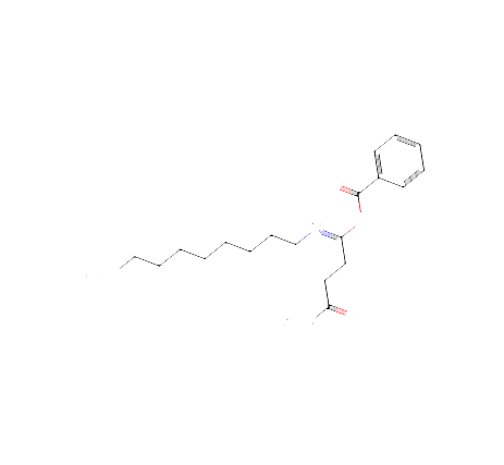 CCCCCCCCCCCCCCCCCCN=C(CCC(=O)OC(C)=O)OC(=O)c1ccccc1